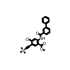 COC(=O)c1cc(C#C[Si](C)(C)C)c(Cl)cc1NC(=O)c1cccc(-c2ccccc2)c1